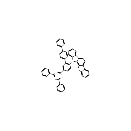 c1ccc(-c2ccc(-c3cc(-c4nc(-c5ccccc5)nc(-c5ccccc5)n4)ccc3-n3c4ccccc4c4ccc5c6ccccc6sc5c43)cc2)cc1